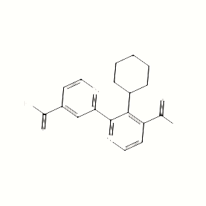 O=C(O)c1ccnc(-c2nccc(C(=O)O)c2C2CCCCC2)c1